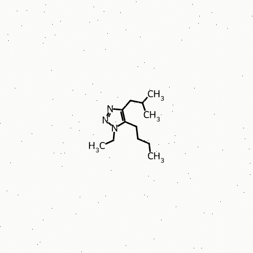 CCCCc1c(CC(C)C)nnn1CC